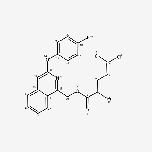 CC(C)C(CC=C(Cl)Cl)C(=O)OCc1nc(Oc2ccc(F)cc2)cc2ccccc12